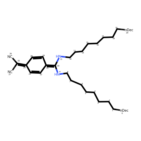 CCCCCCCCCCCCCCCCCCNC(NCCCCCCCCCCCCCCCCCC)=c1ccc(=C(C#N)C#N)cc1